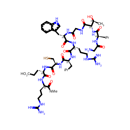 CNC(=O)[C@@H](CCCNC(=N)N)NC(=O)[C@H](CCC(=O)O)NC(=O)[C@@H](CS)NC(=O)[C@H](CC(C)C)NC(=O)[C@@H](CCCNC(=N)N)NC(=O)[C@H](Cc1c[nH]c2ccccc12)NC(=O)CNC(=O)[C@@H](NC(=O)[C@H](NC(=O)CN)C(C)C)[C@H](C)O